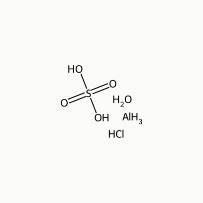 Cl.O.O=S(=O)(O)O.[AlH3]